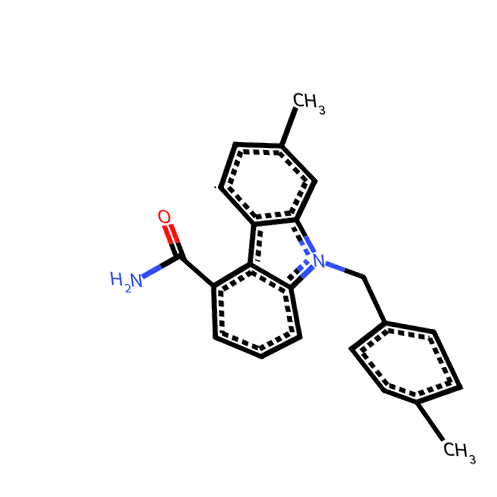 Cc1ccc(Cn2c3cc(C)c[c]c3c3c(C(N)=O)cccc32)cc1